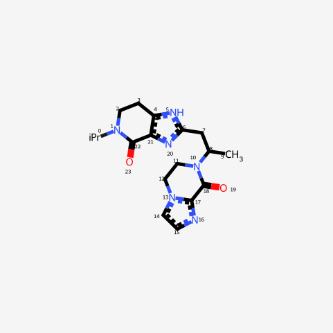 CC(C)N1CCc2[nH]c(CC(C)N3CCn4ccnc4C3=O)nc2C1=O